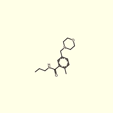 CCCNC(=O)c1cc(CN2CCOCC2)ccc1C